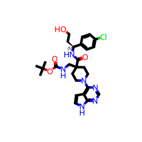 CC(C)(C)OC(=O)NCC1(C(=O)N[C@@H](CCO)c2ccc(Cl)cc2)CCN(c2ncnc3[nH]ccc23)CC1